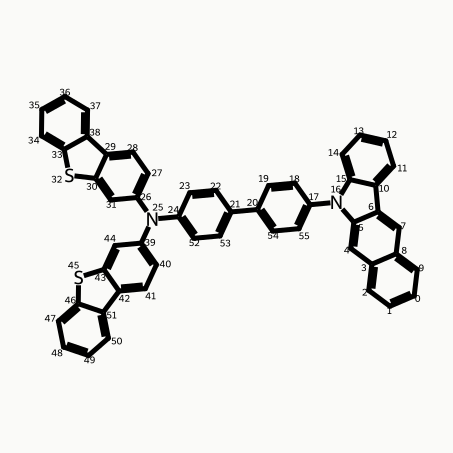 c1ccc2cc3c(cc2c1)c1ccccc1n3-c1ccc(-c2ccc(N(c3ccc4c(c3)sc3ccccc34)c3ccc4c(c3)sc3ccccc34)cc2)cc1